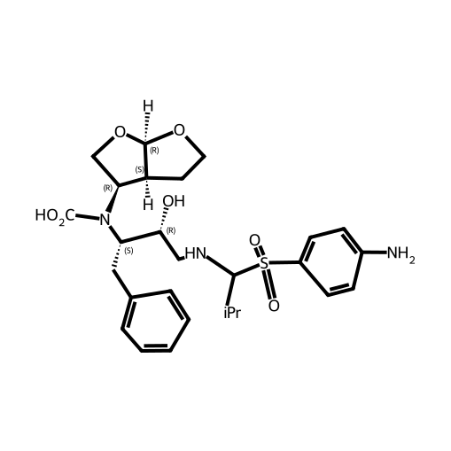 CC(C)C(NC[C@@H](O)[C@H](Cc1ccccc1)N(C(=O)O)[C@H]1CO[C@H]2OCC[C@H]21)S(=O)(=O)c1ccc(N)cc1